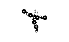 Cc1c(-c2ccc(OCc3ccccc3)cc2)n(Cc2ccc(N3CCC(C=O)CC3)cc2)c2ccc(OCc3ccccc3)cc12